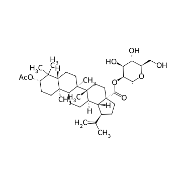 C=C(C)[C@@H]1CC[C@]2(C(=O)O[C@@H]3[CH]O[C@H](CO)[C@@H](O)[C@@H]3O)CC[C@]3(C)[C@H](CCC4[C@@]5(C)CC[C@H](OC(C)=O)C(C)(C)[C@@H]5CC[C@]43C)[C@@H]12